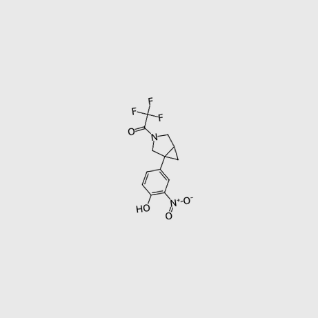 O=C(N1CC2CC2(c2ccc(O)c([N+](=O)[O-])c2)C1)C(F)(F)F